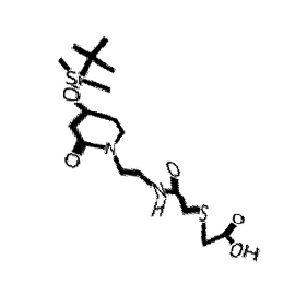 CC(C)(C)[Si](C)(C)OC1CCN(CCNC(=O)CSCC(=O)O)C(=O)C1